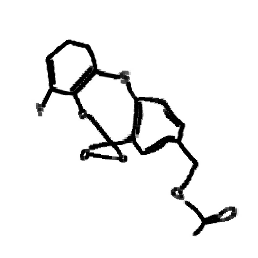 CC(=O)OCc1ccc2c(c1)C1(OO1)OC1=C(CCC=C1F)S2